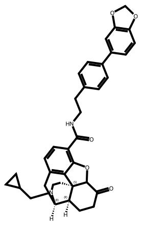 O=C(NCCc1ccc(-c2ccc3c(c2)OCO3)cc1)c1ccc2c3c1OC1C(=O)CC[C@H]4[C@@H](C2)N(CC2CC2)CC[C@]314